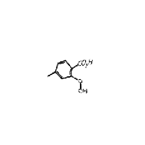 Cc1ccc(C(=O)O)c(OO)c1